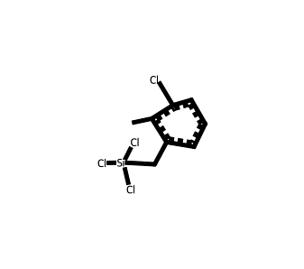 Cc1c(Cl)cccc1C[Si](Cl)(Cl)Cl